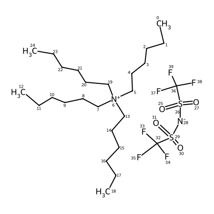 CCCCCC[N+](CCCCCC)(CCCCCC)CCCCCC.O=S(=O)([N-]S(=O)(=O)C(F)(F)F)C(F)(F)F